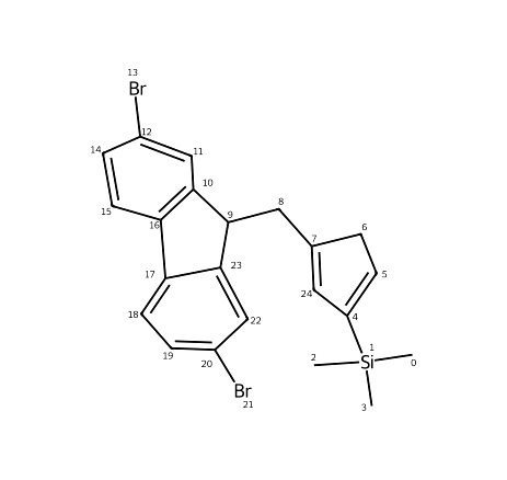 C[Si](C)(C)C1=CCC(CC2c3cc(Br)ccc3-c3ccc(Br)cc32)=C1